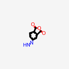 N=Nc1ccc2c(c1)C(=O)OC2=O